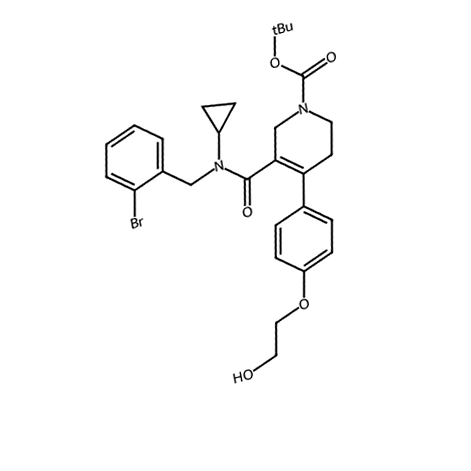 CC(C)(C)OC(=O)N1CCC(c2ccc(OCCO)cc2)=C(C(=O)N(Cc2ccccc2Br)C2CC2)C1